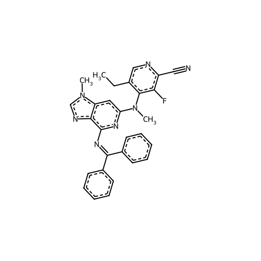 CCc1cnc(C#N)c(F)c1N(C)c1cc2c(ncn2C)c(N=C(c2ccccc2)c2ccccc2)n1